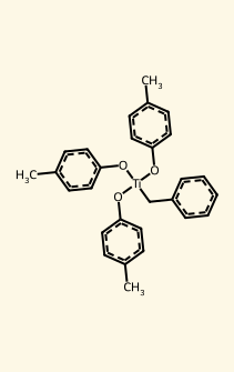 Cc1ccc([O][Ti]([CH2]c2ccccc2)([O]c2ccc(C)cc2)[O]c2ccc(C)cc2)cc1